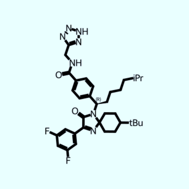 CC(C)CCCC[C@H](c1ccc(C(=O)NCc2nn[nH]n2)cc1)N1C(=O)C(c2cc(F)cc(F)c2)=NC12CCC(C(C)(C)C)CC2